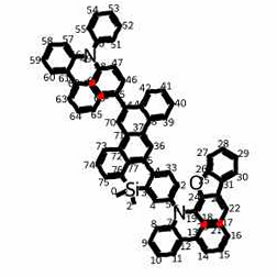 C[Si]1(C)c2cc(N(c3ccccc3-c3ccccc3)c3cccc4c3oc3ccccc34)ccc2-c2cc3c4ccccc4c(-c4ccc(N(c5ccccc5)c5ccccc5-c5ccccc5)cc4)cc3c3cccc1c23